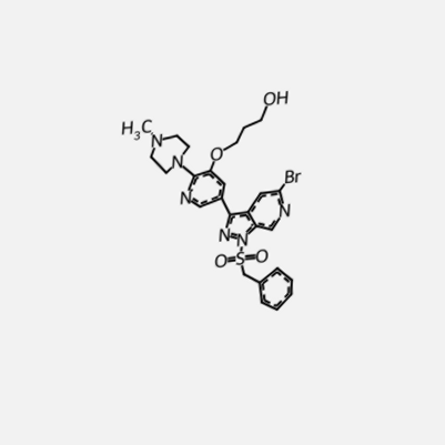 CN1CCN(c2ncc(-c3nn(S(=O)(=O)Cc4ccccc4)c4cnc(Br)cc34)cc2OCCCO)CC1